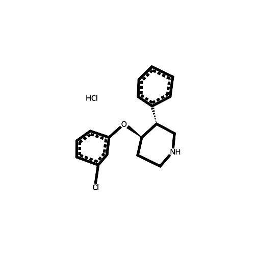 Cl.Clc1cccc(O[C@@H]2CCNC[C@H]2c2ccccc2)c1